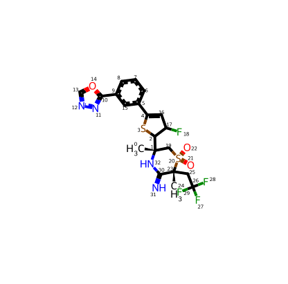 C[C@@]1(C2SC(c3cccc(-c4nnco4)c3)=CC2F)CS(=O)(=O)[C@](C)(CC(F)(F)F)C(=N)N1